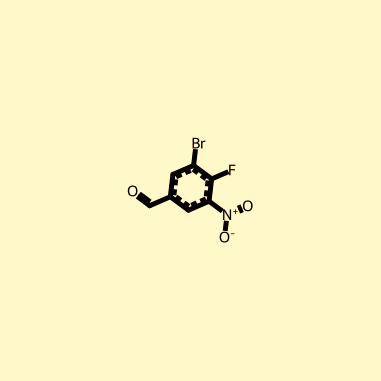 O=Cc1cc(Br)c(F)c([N+](=O)[O-])c1